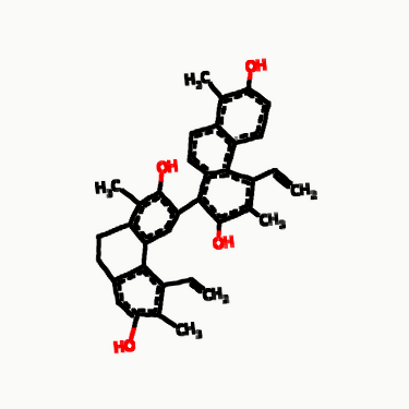 C=Cc1c(C)c(O)cc2c1-c1cc(-c3c(O)c(C)c(C=C)c4c3ccc3c(C)c(O)ccc34)c(O)c(C)c1CC2